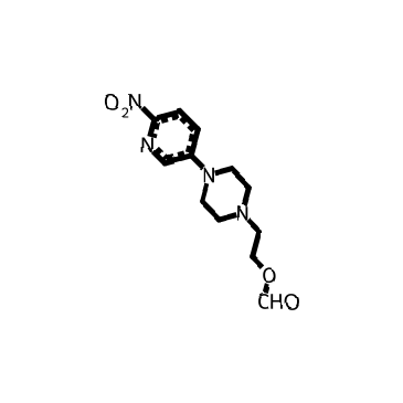 O=COCCN1CCN(c2ccc([N+](=O)[O-])nc2)CC1